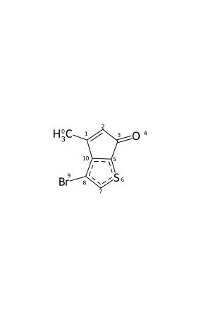 CC1=CC(=O)c2scc(Br)c21